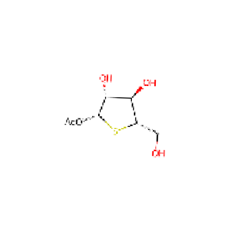 CC(=O)O[C@H]1S[C@@H](CO)[C@H](O)[C@H]1O